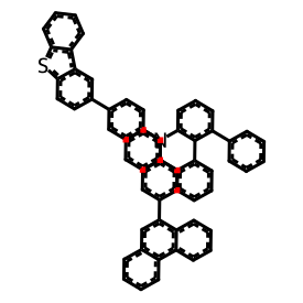 c1ccc(-c2ccccc2-c2c(-c3ccccc3)cccc2N(c2ccc(-c3ccc4sc5ccccc5c4c3)cc2)c2ccc(-c3cc4ccccc4c4ccccc34)cc2)cc1